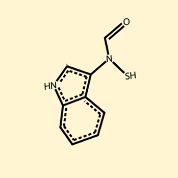 O=CN(S)c1[c][nH]c2ccccc12